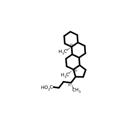 C[C@H](CCC(=O)O)C1CCC2C3CCC4CCCC[C@]4(C)C3CC[C@@]21C